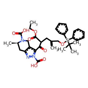 C=C(CO[Si](c1ccccc1)(c1ccccc1)C(C)(C)C)CC(C(=O)OCC)C(=O)c1c2c(nn1C(=O)O)C[C@@H](C)N(C(=O)O)C2